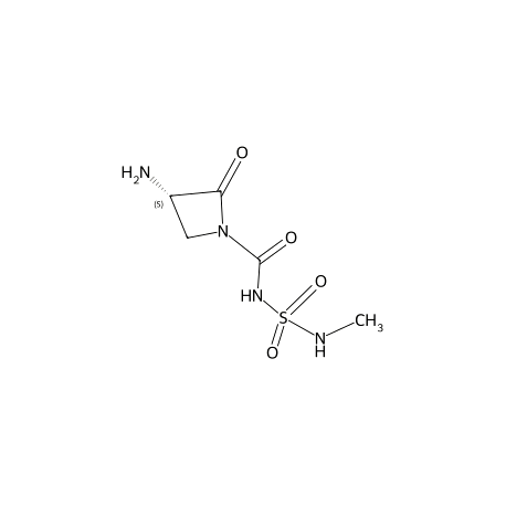 CNS(=O)(=O)NC(=O)N1C[C@H](N)C1=O